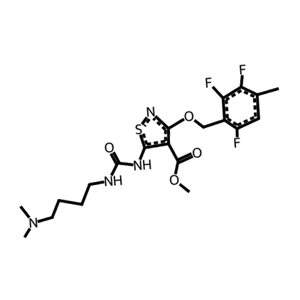 COC(=O)c1c(OCc2c(F)cc(C)c(F)c2F)nsc1NC(=O)NCCCCN(C)C